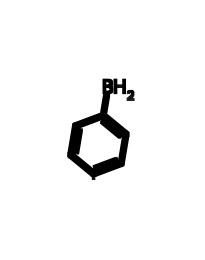 Bc1cc[c]cc1